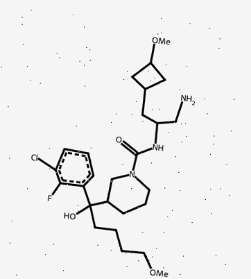 COCCCCC(O)(c1cccc(Cl)c1F)C1CCCN(C(=O)NC(CN)CC2CC(OC)C2)C1